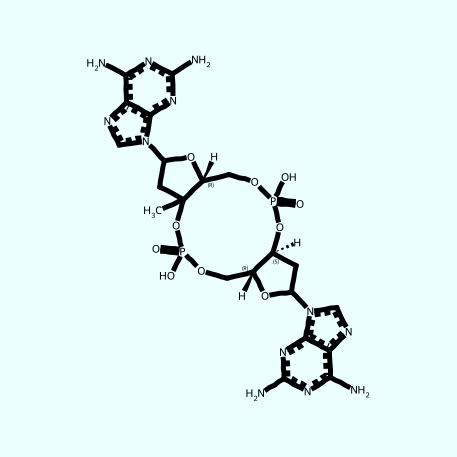 CC12CC(n3cnc4c(N)nc(N)nc43)O[C@@H]1COP(=O)(O)O[C@H]1CC(n3cnc4c(N)nc(N)nc43)O[C@@H]1COP(=O)(O)O2